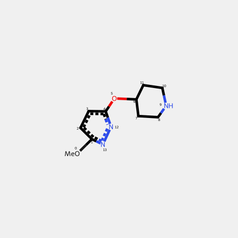 COc1ccc(OC2CCNCC2)nn1